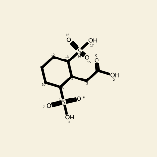 O=C(O)CC1C(S(=O)(=O)O)C[CH]CC1S(=O)(=O)O